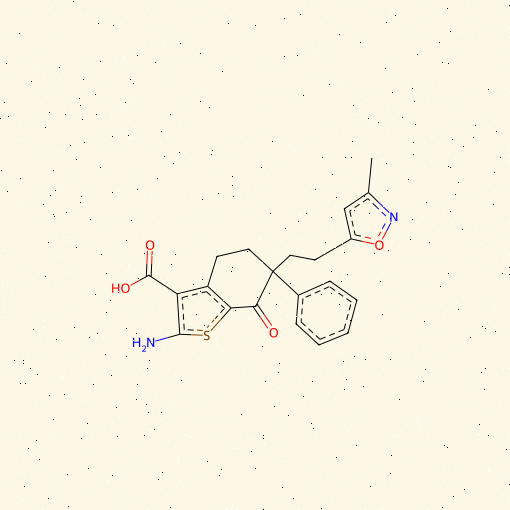 Cc1cc(CCC2(c3ccccc3)CCc3c(sc(N)c3C(=O)O)C2=O)on1